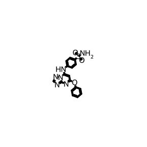 NS(=O)(=O)c1ccc(Nc2cc(Oc3ccccc3)nc3ncnn23)cc1